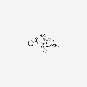 C=CCCC1(O[C@@H]2O[C@@H](C)[C@H](C)C[C@H]2OC(=O)c2ccccc2)CCC1